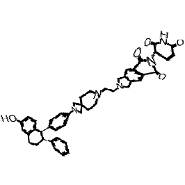 O=C1CC[C@@H](N2C(=O)c3cc4c(cc3C2=O)CN(CCN2CCC3(CC2)CN(c2ccc([C@@H]5c6ccc(O)cc6CC[C@@H]5c5ccccc5)cc2)C3)C4)C(=O)N1